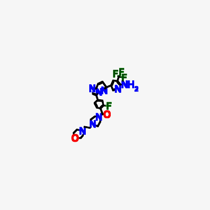 Nc1ncc(-c2ccc3ncc(-c4ccc(C(=O)N5CCN(CCN6CCOCC6)CC5)c(F)c4)n3n2)cc1C(F)(F)F